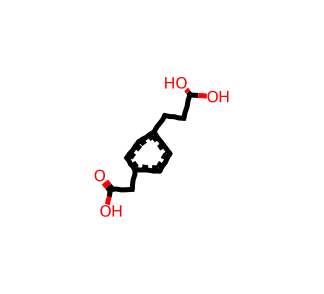 O=C(O)Cc1ccc(CCC(O)O)cc1